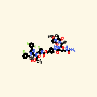 CC(C)[C@H](NC(=O)[C@H](CC(=O)O)N1C(=O)C=CC1=O)C(=O)N[C@@H](CCCNC(N)=O)C(=O)Nc1ccc(COC(=O)N2C[C@@H](CN(C(=O)[C@H](C)O)[C@@H](c3nc(-c4cc(F)ccc4F)cn3Cc3cccc(F)c3)C(C)(C)C)[C@@H](F)C2)cc1